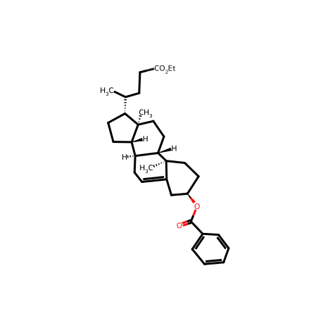 CCOC(=O)CCC(C)[C@H]1CC[C@H]2[C@@H]3CC=C4C[C@H](OC(=O)c5ccccc5)CC[C@]4(C)[C@H]3CC[C@]12C